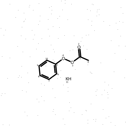 CC(=O)OOc1ccccc1.[KH]